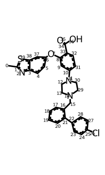 Cc1nc2ccc(Oc3cc(N4CCN(Cc5ccccc5-c5ccc(Cl)cc5)CC4)ccc3C(=O)O)cc2s1